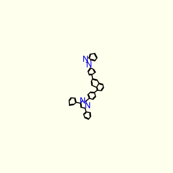 c1ccc(-c2cc(-c3ccccc3)nc(-c3ccc(-c4cccc5cc(-c6ccc(-n7cnc8ccccc87)cc6)ccc45)cc3)n2)cc1